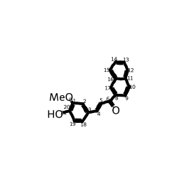 COc1cc(/C=C/C(=O)c2ccc3ccccc3c2)ccc1O